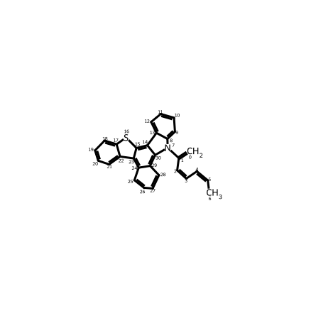 C=C(/C=C\C=C/C)n1c2ccccc2c2c3sc4ccccc4c3c3ccccc3c21